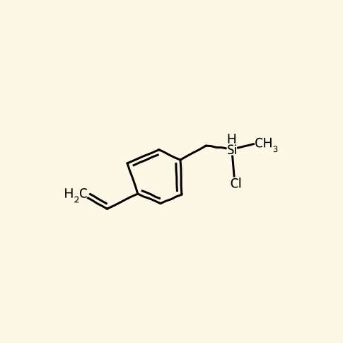 C=Cc1ccc(C[SiH](C)Cl)cc1